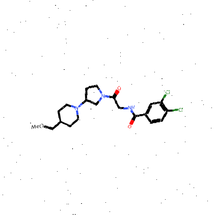 COCC1CCN(C2CCN(C(=O)CNC(=O)c3ccc(Cl)c(Cl)c3)C2)CC1